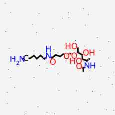 CC(=O)NC(C)C(O)C(O)C(CO)OCOCCCC(=O)NCCCCCCN